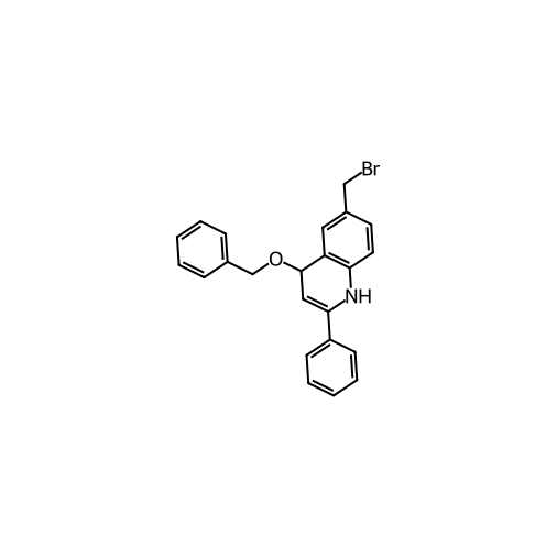 BrCc1ccc2c(c1)C(OCc1ccccc1)C=C(c1ccccc1)N2